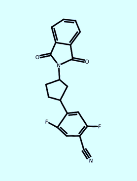 N#Cc1cc(F)c(C2CCC(N3C(=O)c4ccccc4C3=O)C2)cc1F